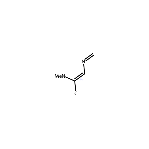 C=N/C=C(/Cl)NC